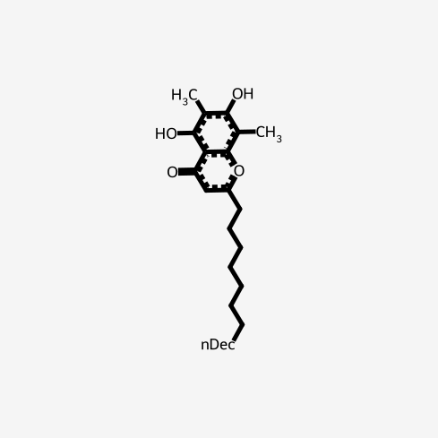 CCCCCCCCCCCCCCCCCc1cc(=O)c2c(O)c(C)c(O)c(C)c2o1